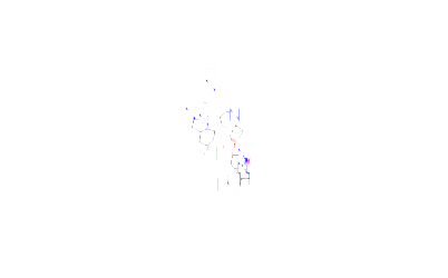 CCn1c(C)cc(=O)n(Cc2cc3nccc(-c4cc(Cl)cc5ccn(CC6(C#N)CCNCC6)c45)c3s2)c1=O